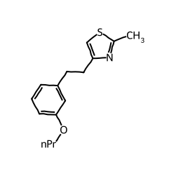 CCCOc1cccc(CCc2csc(C)n2)c1